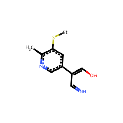 CCSc1cc(/C(C=N)=C/O)cnc1C